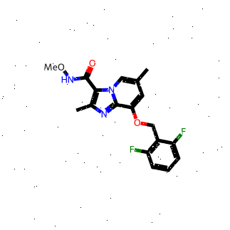 CONC(=O)c1c(C)nc2c(OCc3c(F)cccc3F)cc(C)cn12